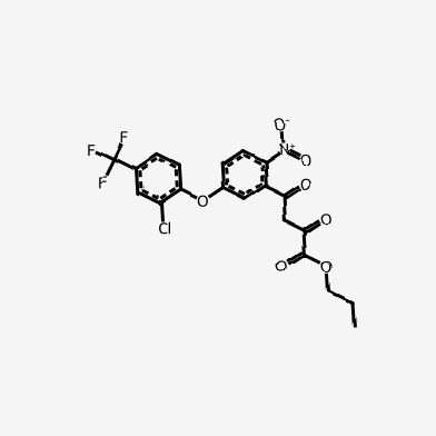 CCCOC(=O)C(=O)CC(=O)c1cc(Oc2ccc(C(F)(F)F)cc2Cl)ccc1[N+](=O)[O-]